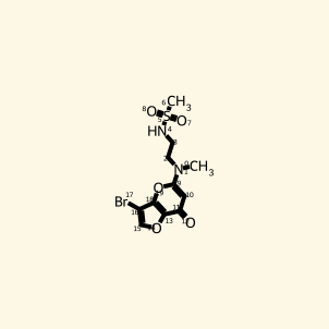 CN(CCNS(C)(=O)=O)c1cc(=O)c2occ(Br)c2o1